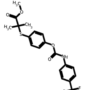 COC(=O)C(C)(C)Sc1ccc(OC(=O)Nc2ccc(C(F)(F)F)cc2)cc1